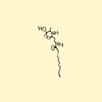 CCCCCCCCCC(=O)NCCC(=O)NC(C)C(=O)O